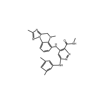 CNC(=O)c1nnc(Nc2cc(C)cc(C)c2)cc1Nc1cccc2c1N(C)Cc1nc(C)nn1-2